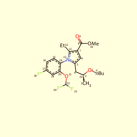 CCCCO[C@@H](C)Cc1cc(C(=O)OC)c(CC)n1-c1ccc(F)cc1OC(F)F